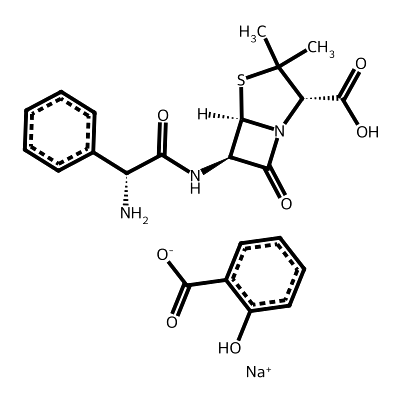 CC1(C)S[C@@H]2[C@H](NC(=O)[C@H](N)c3ccccc3)C(=O)N2[C@H]1C(=O)O.O=C([O-])c1ccccc1O.[Na+]